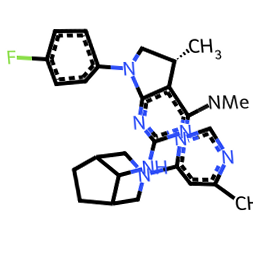 CNc1nc(NC2C3CCC2CN(c2cc(C)ncn2)C3)nc2c1[C@@H](C)CN2c1ccc(F)cc1